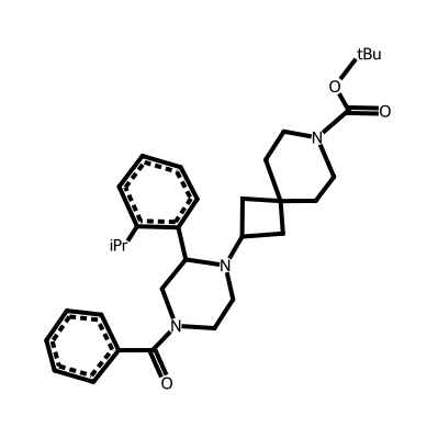 CC(C)c1ccccc1C1CN(C(=O)c2ccccc2)CCN1C1CC2(CCN(C(=O)OC(C)(C)C)CC2)C1